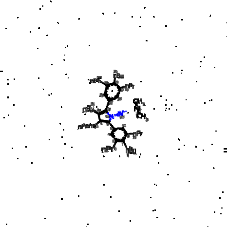 CCCCCC1=C(c2cc(CCC)c(CCCC)c(CCC)c2)[N+](=[N-])C(c2cc(CCC)c(CCCC)c(CCC)c2)=C1CCCC.[CH3][Ni][CH3]